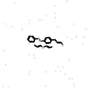 CC=COC=CC.FC=CCc1ccc(N=Nc2ccccc2)cc1